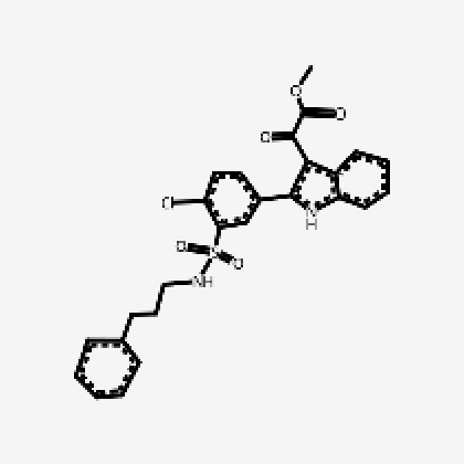 COC(=O)C(=O)c1c(-c2ccc(Cl)c(S(=O)(=O)NCCCc3ccccc3)c2)[nH]c2ccccc12